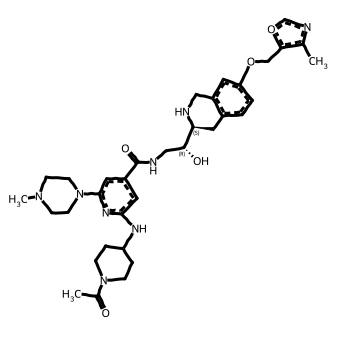 CC(=O)N1CCC(Nc2cc(C(=O)NC[C@@H](O)[C@@H]3Cc4ccc(OCc5ocnc5C)cc4CN3)cc(N3CCN(C)CC3)n2)CC1